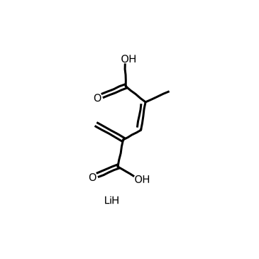 C=C(C=C(C)C(=O)O)C(=O)O.[LiH]